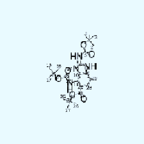 CC(C)(C)OC(=O)Nc1nc2c(NC(=O)OC(C)(C)C)c(C(=O)OC(C)(C)C)ccc2[nH]1